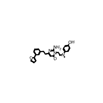 CN(CCn1c(N)nc(CCc2cccc(-c3ccco3)c2)cc1=O)c1ccc(O)cc1